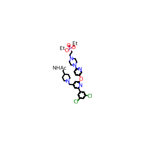 CCOP(=O)(CCN1CCN(c2ccc(Oc3cc(CN4CCC(CNC(C)=O)CC4)cc(-c4cc(Cl)cc(Cl)c4)n3)cn2)CC1)OCC